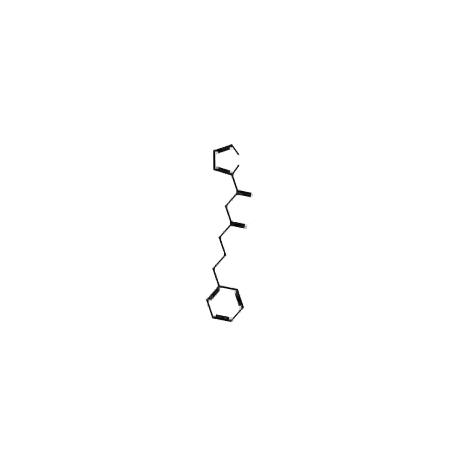 O=C(CCCc1ccccc1)CC(=O)c1ccco1